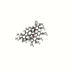 Bc1c(B)c(B)c(-c2cc([N+](=O)[O-])cc(-c3c(B)c(B)c(B)c(B)c3B)c2-n2c3ccccc3c3c(-n4c5ccccc5c5c(B)c(B)c(B)c(B)c54)cccc32)c(B)c1B